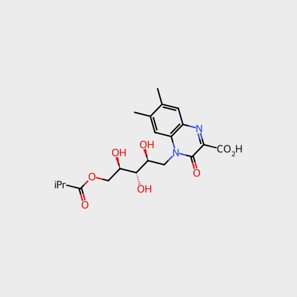 Cc1cc2nc(C(=O)O)c(=O)n(C[C@H](O)[C@H](O)[C@H](O)COC(=O)C(C)C)c2cc1C